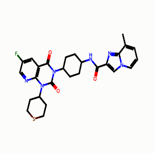 Cc1cccn2cc(C(=O)NC3CCC(n4c(=O)c5cc(F)cnc5n(C5CCSCC5)c4=O)CC3)nc12